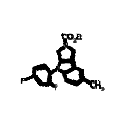 CCOC(=O)N1Cc2c(n(-c3ccc(F)cc3F)c3ccc(C)cc23)C1